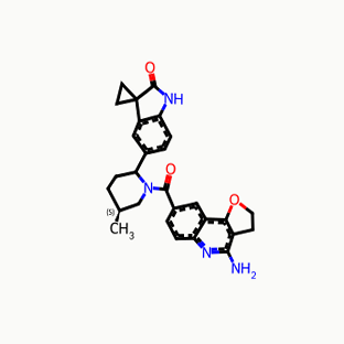 C[C@H]1CCC(c2ccc3c(c2)C2(CC2)C(=O)N3)N(C(=O)c2ccc3nc(N)c4c(c3c2)OCC4)C1